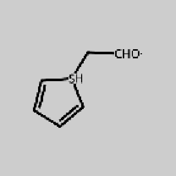 O=[C]C[SH]1C=CC=C1